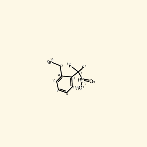 O=[PH](O)C(F)(F)c1ccccc1CBr